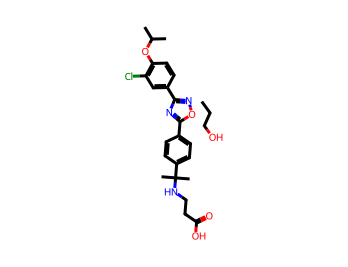 CC(C)Oc1ccc(-c2noc(-c3ccc(C(C)(C)NCCC(=O)O)cc3)n2)cc1Cl.CCCO